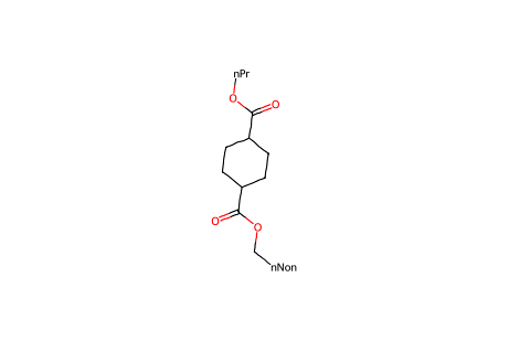 CCCCCCCCCCOC(=O)C1CCC(C(=O)OCCC)CC1